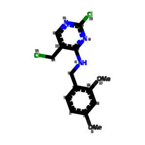 COc1ccc(CNc2nc(Cl)ncc2CCl)c(OC)c1